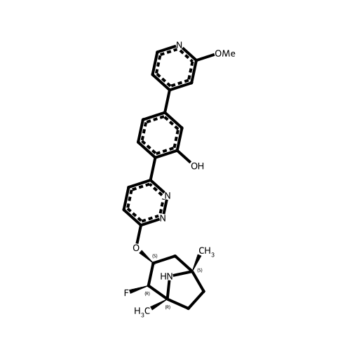 COc1cc(-c2ccc(-c3ccc(O[C@H]4C[C@]5(C)CC[C@@](C)(N5)[C@H]4F)nn3)c(O)c2)ccn1